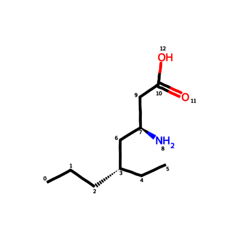 CCC[C@@H](CC)C[C@H](N)CC(=O)O